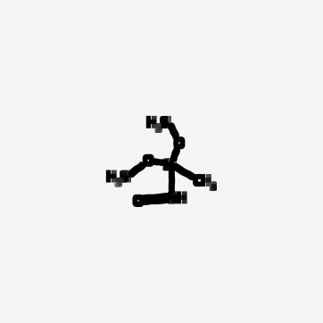 C[Si](O[SiH3])(O[SiH3])[SiH]=O